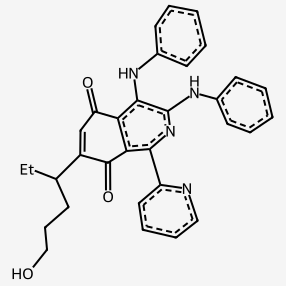 CCC(CCCO)C1=CC(=O)c2c(Nc3ccccc3)c(Nc3ccccc3)nc(-c3ccccn3)c2C1=O